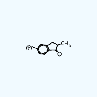 CC1Cc2cc(C(C)C)ccc2C1=O